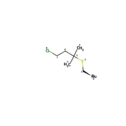 CC[C@H](C)CSC(C)(C)CCCl